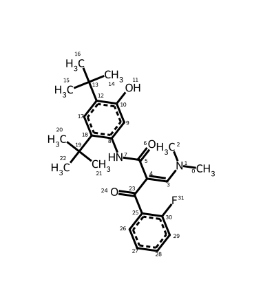 CN(C)/C=C(\C(=O)Nc1cc(O)c(C(C)(C)C)cc1C(C)(C)C)C(=O)c1ccccc1F